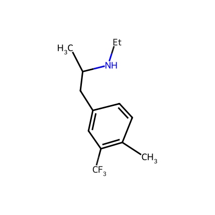 CCNC(C)Cc1ccc(C)c(C(F)(F)F)c1